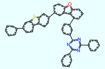 c1ccc(-c2ccc3c(c2)sc2cc(-c4ccc5oc6cccc(-c7cccc(-c8nc(-c9ccccc9)nc(-c9ccccc9)n8)c7)c6c5c4)ccc23)cc1